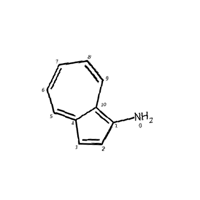 Nc1ccc2cccccc1-2